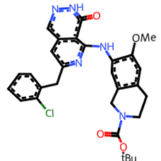 COc1cc2c(cc1Nc1nc(Cc3ccccc3Cl)cc3cn[nH]c(=O)c13)CN(C(=O)OC(C)(C)C)CC2